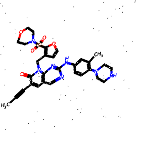 CC#Cc1cc2cnc(Nc3ccc(N4CCNCC4)c(C)c3)nc2n(Cc2ccoc2S(=O)(=O)N2CCOCC2)c1=O